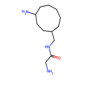 NCC(=O)NCC1CCCCCC(N)CC1